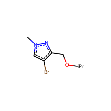 CC(C)OCc1nn(C)cc1Br